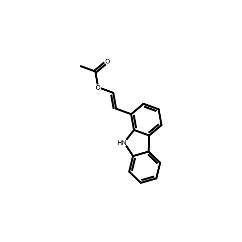 CC(=O)OC=Cc1cccc2c1[nH]c1ccccc12